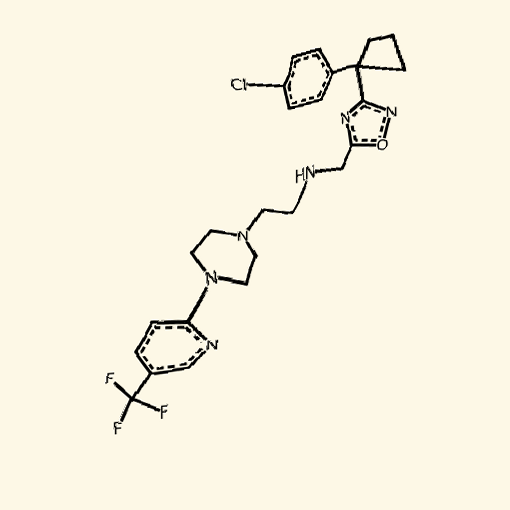 FC(F)(F)c1ccc(N2CCN(CCNCc3nc(C4(c5ccc(Cl)cc5)CCC4)no3)CC2)nc1